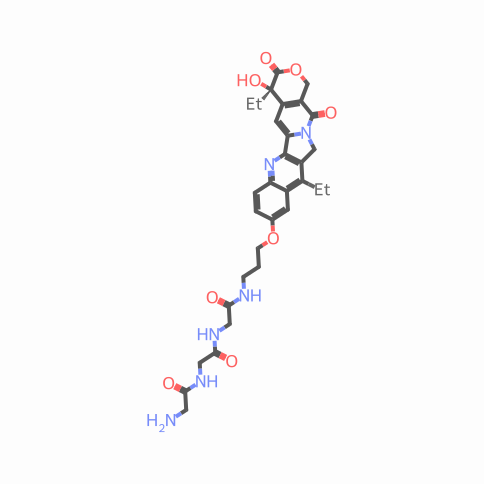 CCc1c2c(nc3ccc(OCCCNC(=O)CNC(=O)CNC(=O)CN)cc13)-c1cc3c(c(=O)n1C2)COC(=O)[C@]3(O)CC